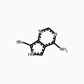 CC(C)(C)c1[nH]cc2c(N)ncnc12